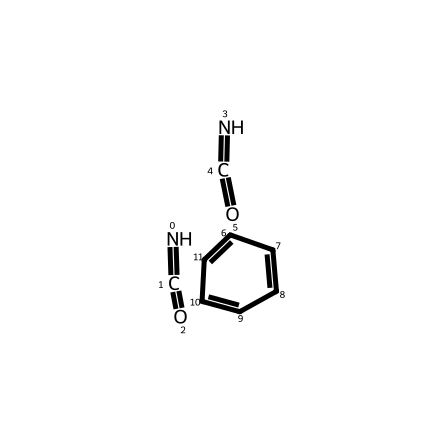 N=C=O.N=C=O.c1ccccc1